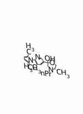 CCCN1CC(O)(c2cnc(-n3c(C)ccc3C)c(C)c2)OC[C@@H]1C